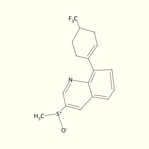 C[S+]([O-])c1cnc2c(C3=CCC(C(F)(F)F)CC3)cccc2c1